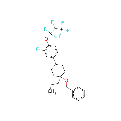 CCCC1(OCc2ccccc2)CCC(c2ccc(OC(F)(F)C(F)C(F)(F)F)c(F)c2)CC1